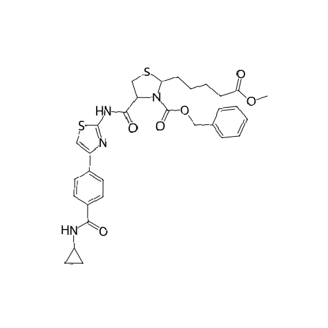 COC(=O)CCCCC1SCC(C(=O)Nc2nc(-c3ccc(C(=O)NC4CC4)cc3)cs2)N1C(=O)OCc1ccccc1